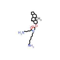 CC12CCC(OC(=O)CN(CCCCCCCCN)C(=O)CCCCN)CC1=CCC1C3CCCC3CCC12